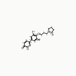 C[C@@H]1CCCN1CCCOc1c(F)cc(-c2ccc(=O)[nH]n2)cc1F